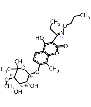 CCCO/N=C(\CC)c1c(O)c2ccc(O[C@@H]3OC(C)(C)[C@H](OC)[C@@H](O)[C@H]3O)c(C)c2oc1=O